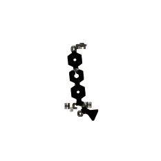 CCCOc1ccc(N2CCC(c3ccc([C@H](C)NC(=O)C4CC4)cc3)CC2)cc1